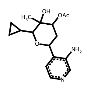 CC(=O)OC1CC(c2ccncc2N)OC(C2CC2)C1(C)O